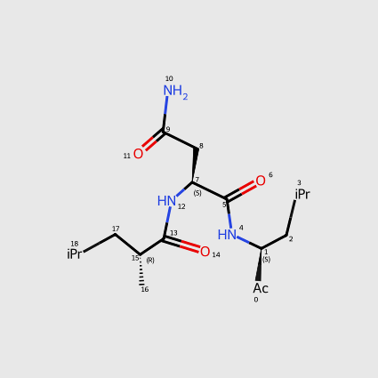 CC(=O)[C@H](CC(C)C)NC(=O)[C@H](CC(N)=O)NC(=O)[C@H](C)CC(C)C